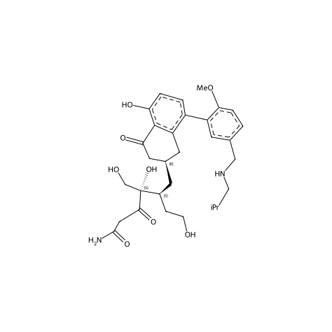 COc1ccc(CNCC(C)C)cc1-c1ccc(O)c2c1C[C@@H](C[C@@H](CCO)[C@](O)(CO)C(=O)CC(N)=O)CC2=O